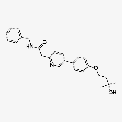 CC(C)(O)CCOc1ccc(-c2ccc(CC(=O)NCc3ccccc3)nc2)cc1